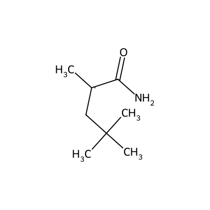 C[C](CC(C)(C)C)C(N)=O